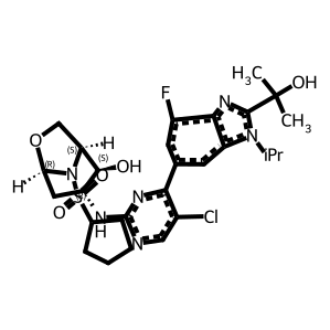 CC(C)n1c(C(C)(C)O)nc2c(F)cc(-c3nc(N[C@@H]4C[C@H]5OC[C@@H]([C@H]4O)N5S(=O)(=O)C4CCCC4)ncc3Cl)cc21